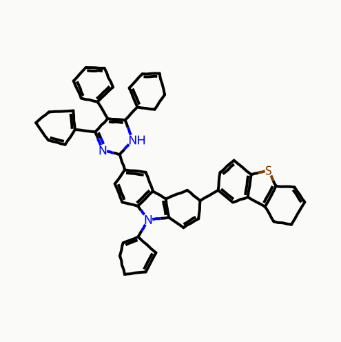 C1=CCCC(C2=C(c3ccccc3)C(C3=CCCC=C3)=NC(c3ccc4c(c3)c3c(n4C4=CCCC=C4)C=CC(c4ccc5sc6c(c5c4)CCC=C6)C3)N2)=C1